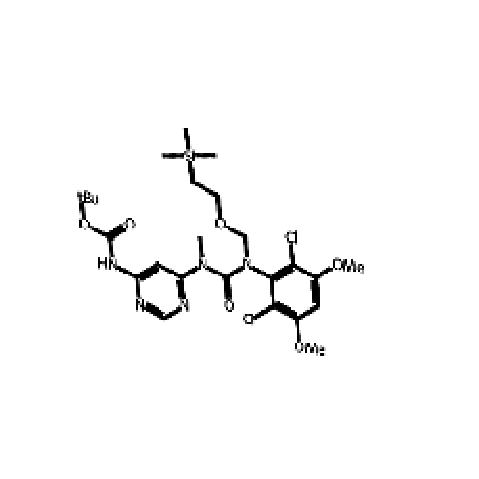 COc1cc(OC)c(Cl)c(N(COCC[Si](C)(C)C)C(=O)N(C)c2cc(NC(=O)OC(C)(C)C)ncn2)c1Cl